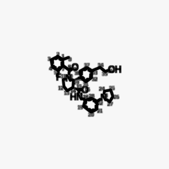 Cc1cccc(F)c1C(=O)N1CCC[C@H](C(=O)Nc2cccc(N3CCCC3)c2)[C@@H]1c1ccc(CCO)cc1